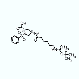 CC(C)(C)OC(=O)NCCCCCC(=O)N[C@@H]1C[C@@H](C(=O)O)N(S(=O)(=O)c2ccccc2)C1